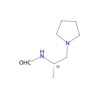 C[C@@H](CN1CCCC1)NC=O